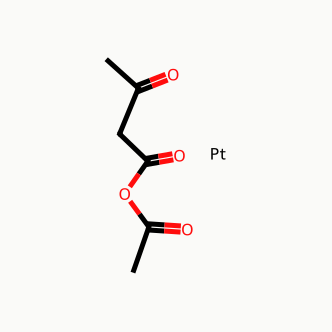 CC(=O)CC(=O)OC(C)=O.[Pt]